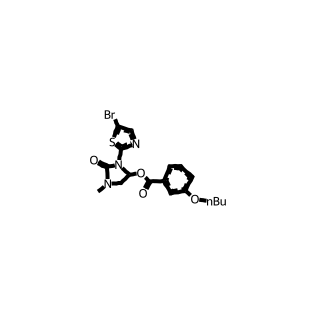 CCCCOc1cccc(C(=O)OC2CN(C)C(=O)N2c2ncc(Br)s2)c1